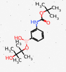 CC(C)(C)OC(=O)Nc1cccc(B(O)OC(C)(C)C(C)(C)O)c1